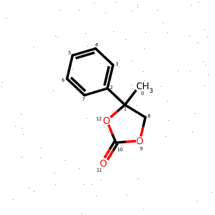 CC1(c2ccccc2)COC(=O)O1